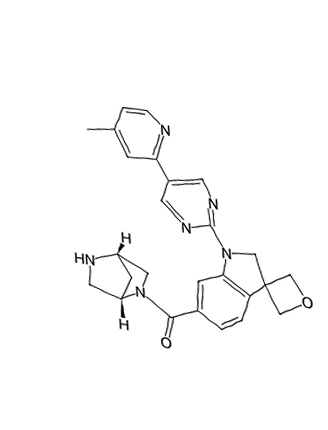 Cc1ccnc(-c2cnc(N3CC4(COC4)c4ccc(C(=O)N5C[C@@H]6C[C@H]5CN6)cc43)nc2)c1